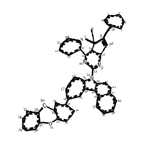 CC1(C)C(c2ccccc2)=Cc2nc(-n3c4ccc(-c5ccc6c(c5)Oc5ccccc5O6)cc4c4c5ccccc5ccc43)nc(-c3ccccc3)c21